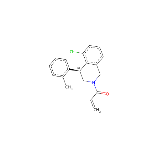 C=CC(=O)N1Cc2cccc(Cl)c2[C@H](c2ccccc2C)C1